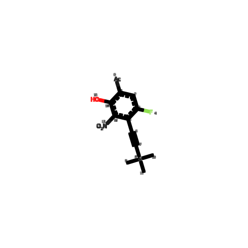 CC(=O)c1cc(F)c(C#C[Si](C)(C)C)c([N+](=O)[O-])c1O